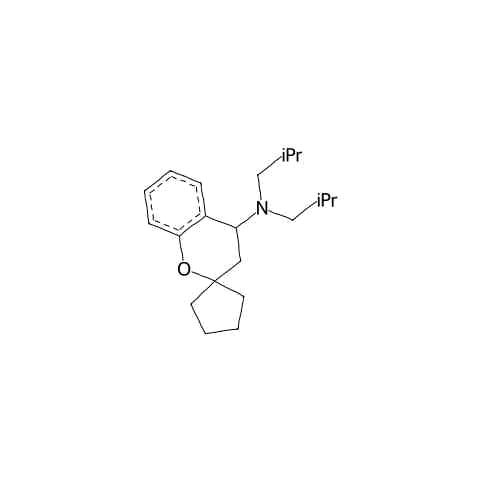 CC(C)CN(CC(C)C)C1CC2(CCCC2)Oc2ccccc21